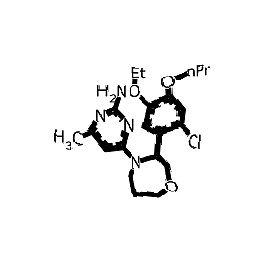 CCCOc1cc(Cl)c(C2COCCCN2c2cc(C)nc(N)n2)cc1OCC